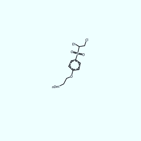 CCCCCCCCCCCCOc1ccc(S(=O)(=O)C(CC)CCl)cc1